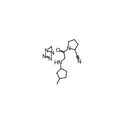 C1n2nnn21.CC1CCC(NCC(=O)N2CCCC2C#N)C1